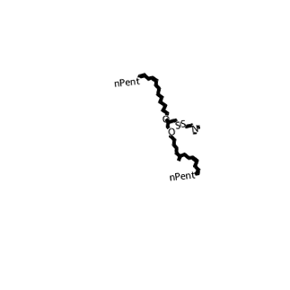 CCCCC/C=C\C/C=C\CCCCCCCCOC(COCCCCCC(C)CC/C=C\C/C=C\CCCCC)CSSCCN(C)C